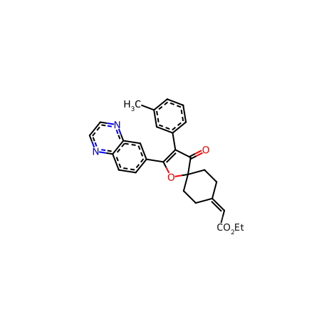 CCOC(=O)C=C1CCC2(CC1)OC(c1ccc3nccnc3c1)=C(c1cccc(C)c1)C2=O